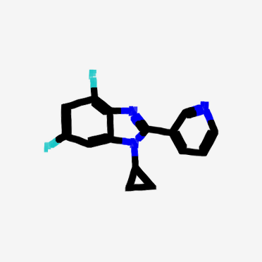 Fc1cc(F)c2nc(-c3cccnc3)n(C3CC3)c2c1